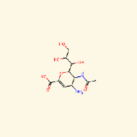 CC(=O)NC1C(N)C=C(C(=O)O)OC1C(O)C(O)CO